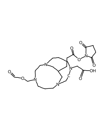 O=COCN1CCCN2CCN(CC(=O)O)CCCN(CC1)CC(CCC(=O)ON1C(=O)CCC1=O)C2